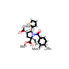 COC(=O)[C@@H]1C[C@@](CC(C)C)(C(=O)OC(C)(C)C)N(C(=O)c2ccc(C(C)(C)C)c(OC)c2)[C@@H]1c1cccs1